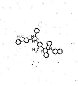 CC1CC(c2nc(C3=CC(C)C(c4nc5ccccc5c5c4c4ccccc4n5-c4ccc5ccccc5c4)C=C3)nc(-c3ccccc3)n2)=CC=C1c1ccccc1